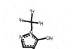 [2H]C([2H])([2H])n1nccc1O